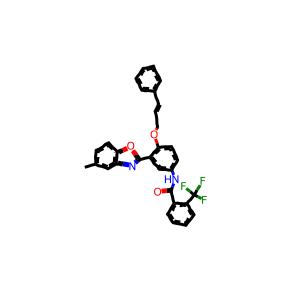 Cc1ccc2oc(-c3cc(NC(=O)c4ccccc4C(F)(F)F)ccc3OC/C=C/c3ccccc3)nc2c1